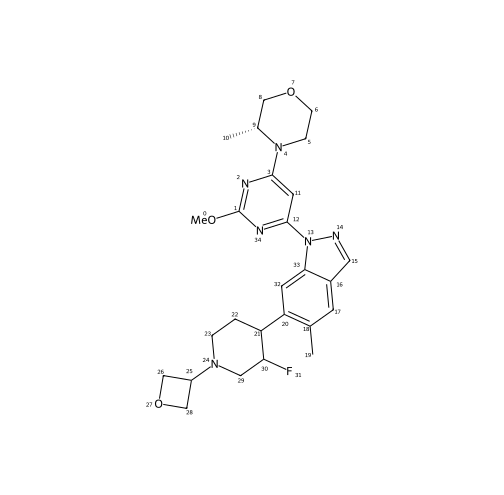 COc1nc(N2CCOC[C@H]2C)cc(-n2ncc3cc(C)c(C4CCN(C5COC5)CC4F)cc32)n1